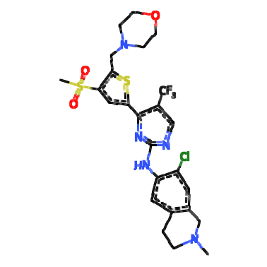 CN1CCc2cc(Nc3ncc(C(F)(F)F)c(-c4cc(S(C)(=O)=O)c(CN5CCOCC5)s4)n3)c(Cl)cc2C1